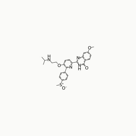 COc1ccc2c(=O)[nH]c(-c3ccc(OCCNC(C)C)c(-c4ccc([S+](C)[O-])cc4)n3)nc2c1